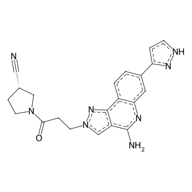 N#C[C@H]1CCN(C(=O)CCn2cc3c(N)nc4cc(-c5cc[nH]n5)ccc4c3n2)C1